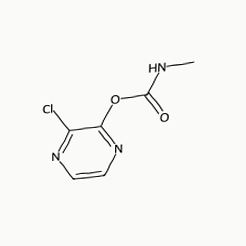 CNC(=O)Oc1nccnc1Cl